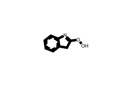 OOC1=Nc2ccccc2C1